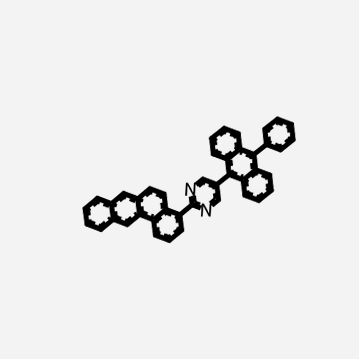 c1ccc(-c2c3ccccc3c(-c3cnc(-c4cccc5c4ccc4cc6ccccc6cc45)nc3)c3ccccc23)cc1